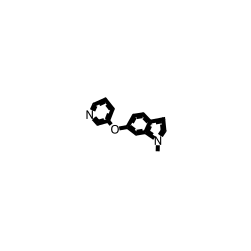 Cn1ccc2ccc(Oc3cccnc3)cc21